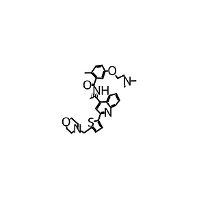 Cc1ccc(OCCN(C)C)cc1C(=O)N[C@H](C)c1cc(-c2ccc(CN3CCOCC3)s2)nc2ccccc12